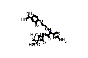 CC1C(NC(=O)/C(=N\OCCOc2ccc(C(=N)N)cc2Br)c2csc(N)n2)C(=O)N1S(=O)(=O)O